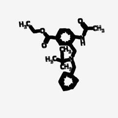 CCOC(=O)c1ccc(NC(C)=O)c(CN(Cc2ccccc2)C(C)(C)C)c1